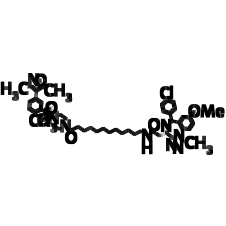 COc1ccc2c(c1)C(c1ccc(Cl)cc1)=N[C@@H](CC(=O)NCCCCCCCCCCCC(=O)N1CCN(S(=O)(=O)c3cc(-c4c(C)noc4C)ccc3C)CC1)c1nnc(C)n1-2